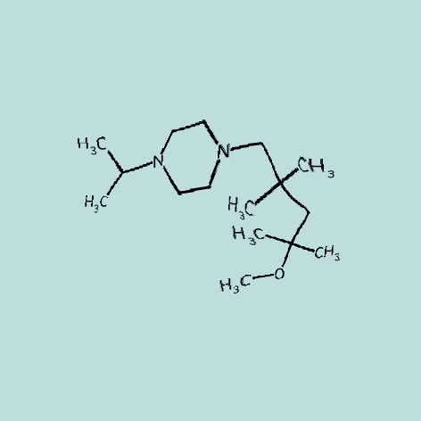 COC(C)(C)CC(C)(C)CN1CCN(C(C)C)CC1